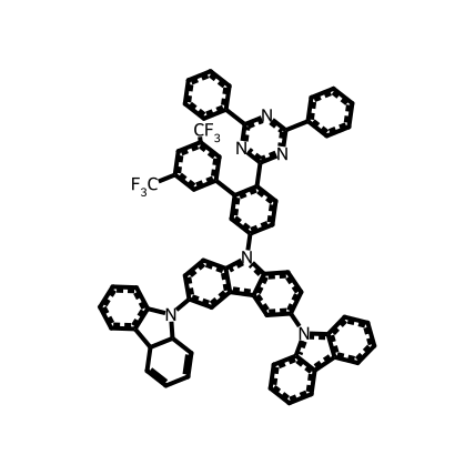 FC(F)(F)c1cc(-c2cc(-n3c4ccc(N5c6ccccc6C6C=CC=CC65)cc4c4cc(-n5c6ccccc6c6ccccc65)ccc43)ccc2-c2nc(-c3ccccc3)nc(-c3ccccc3)n2)cc(C(F)(F)F)c1